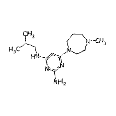 CC(C)CNc1cc(N2CCCN(C)CC2)nc(N)n1